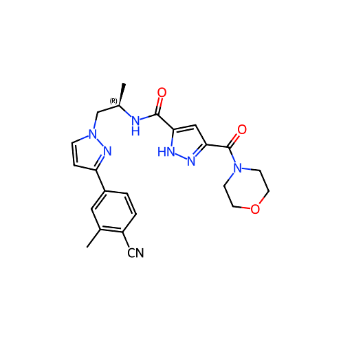 Cc1cc(-c2ccn(C[C@@H](C)NC(=O)c3cc(C(=O)N4CCOCC4)n[nH]3)n2)ccc1C#N